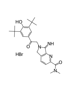 Br.CN(C)C(=O)c1ccc2c(n1)C(=N)N(CC(=O)c1cc(C(C)(C)C)c(O)c(C(C)(C)C)c1)C2